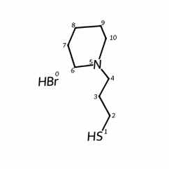 Br.SCCCN1CCCCC1